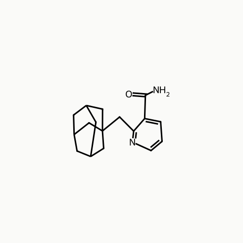 NC(=O)c1cccnc1CC12CC3CC(CC(C3)C1)C2